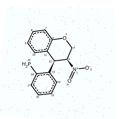 O=[N+]([O-])[C@@H]1COc2ccccc2[C@@H]1c1ccccc1P